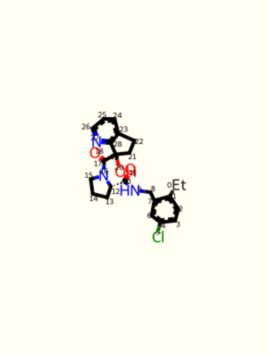 CCc1ccc(Cl)cc1CNC(=O)[C@@H]1CCCN1C(=O)C1(O)CCc2cccnc21